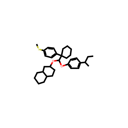 CCC(C)c1ccc(OC(OC2CCC3CCCCC3C2)C2(c3ccc(SC)cc3)CCCCC2)cc1